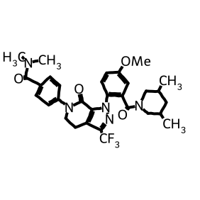 COc1ccc(-n2nc(C(F)(F)F)c3c2C(=O)N(c2ccc(C(=O)N(C)C)cc2)CC3)c(C(=O)N2CC(C)CC(C)C2)c1